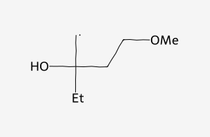 [CH2]C(O)(CC)CCOC